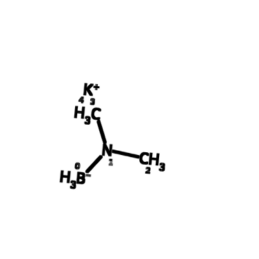 [BH3-]N(C)C.[K+]